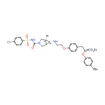 CCOC(=O)[C@H](Cc1ccc(OCCN[C@@H]2C3CN(C(=O)NS(=O)(=O)c4ccc(Cl)cc4)C[C@H]32)cc1)Oc1ccc(C(C)(C)C)cc1